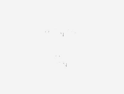 O=C1CCCN1CC1CCCC(CN2C(=O)CCC2=O)C1